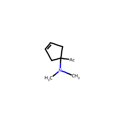 CC(=O)C1(N(C)C)CC=CC1